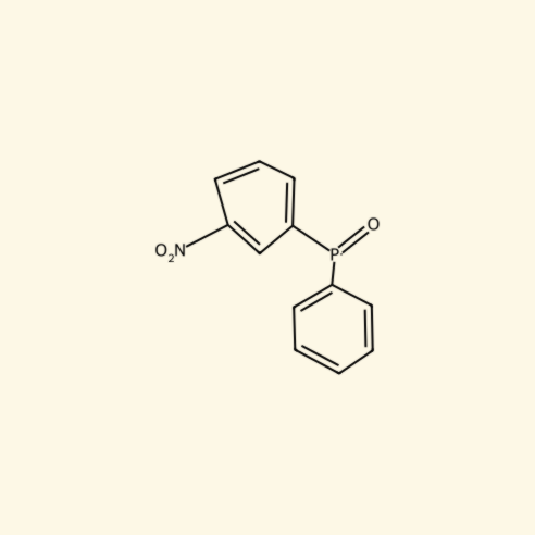 O=[N+]([O-])c1cccc([P](=O)c2ccccc2)c1